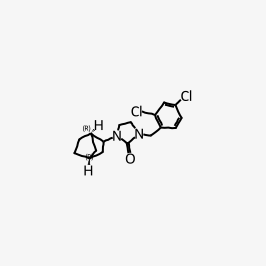 O=C1N(Cc2ccc(Cl)cc2Cl)CCN1C1C[C@@H]2CC[C@@H]1C2